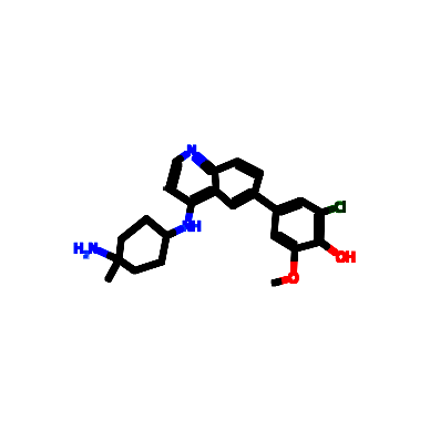 COc1cc(-c2ccc3nc[c]c(NC4CCC(C)(N)CC4)c3c2)cc(Cl)c1O